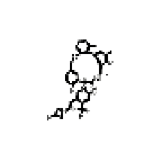 Cc1cc2cc(c1F)[C@H](C)NC(=O)[C@@H](n1cc(CCN3CC(F)C3)c(C(F)(F)F)cc1=O)c1cc(ccc1F)COc1cccc(C)c1-2